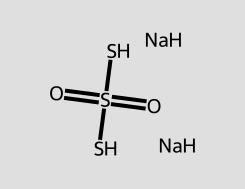 O=S(=O)(S)S.[NaH].[NaH]